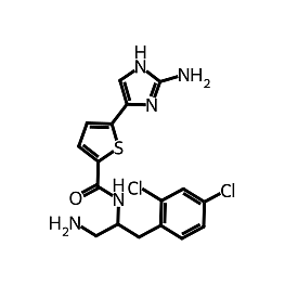 NCC(Cc1ccc(Cl)cc1Cl)NC(=O)c1ccc(-c2c[nH]c(N)n2)s1